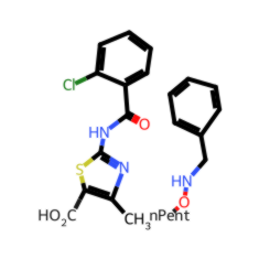 CCCCCONCc1ccccc1.Cc1nc(NC(=O)c2ccccc2Cl)sc1C(=O)O